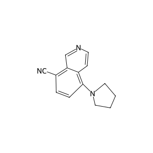 N#Cc1ccc(N2CCCC2)c2ccncc12